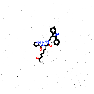 CC(=O)CCCCC[C@H](NC(=O)[C@@H]1CCCN1)C(=O)NCCc1c(-c2ccccc2)[nH]c2ccccc12